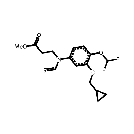 COC(=O)CCN(C=S)c1ccc(OC(F)F)c(OCC2CC2)c1